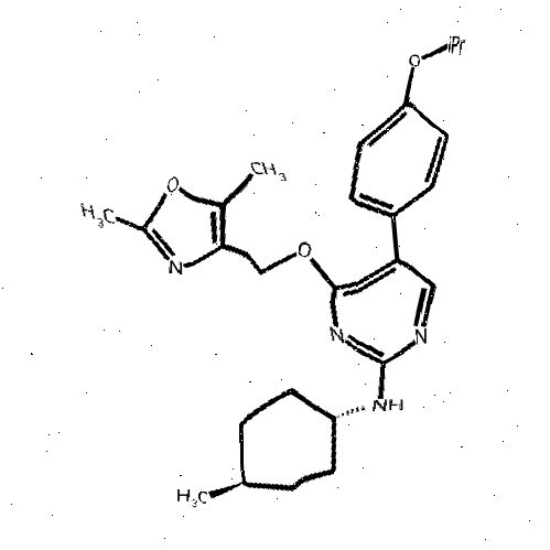 Cc1nc(COc2nc(N[C@H]3CC[C@H](C)CC3)ncc2-c2ccc(OC(C)C)cc2)c(C)o1